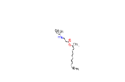 CCCCCCCCCCCCCCCCCCC(C)OC(=O)CCNCCC(=O)O